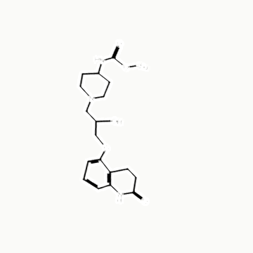 CC(C)(C)OC(=O)NC1CCN(CC(O)COc2cccc3c2CCC(=O)N3)CC1